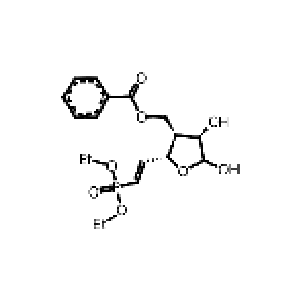 CCOP(=O)(/C=C/[C@H]1OC(O)[C@H](O)[C@@H]1COC(=O)c1ccccc1)OCC